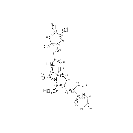 O=C(CSc1cc(Cl)c(Cl)cc1Cl)N[C@@H]1C(=O)N2C(C(=O)O)=C(/C=C3\CCN(CC4CC4)C3=O)CS[C@H]12